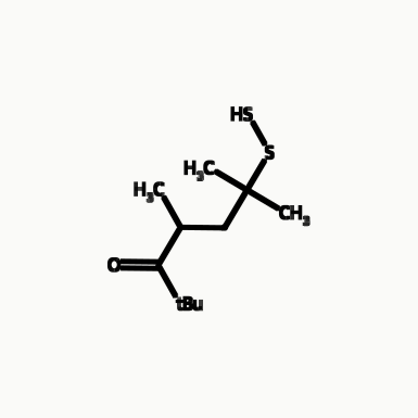 CC(CC(C)(C)SS)C(=O)C(C)(C)C